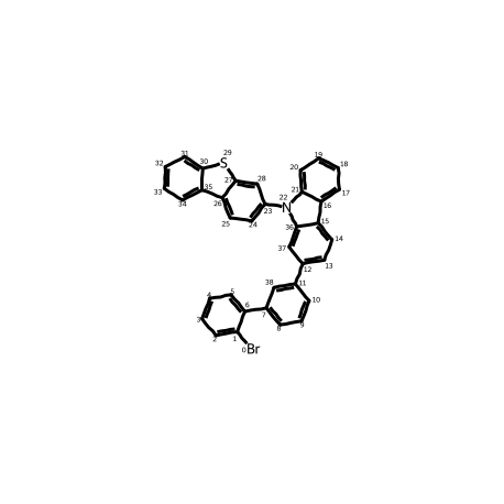 Brc1ccccc1-c1cccc(-c2ccc3c4ccccc4n(-c4ccc5c(c4)sc4ccccc45)c3c2)c1